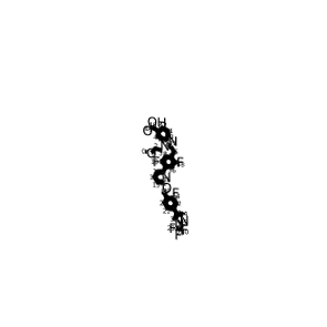 COCCn1c(Cc2cc(F)c(-c3cccc(OCc4ccc(-c5cnn(C(F)(F)F)c5)cc4F)n3)cc2F)nc2ccc(C(=O)O)cc21